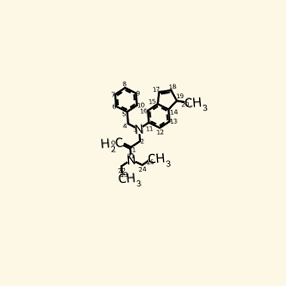 C=C(CN(Cc1ccccc1)c1ccc2c(c1)C=CC2C)N(CC)CC